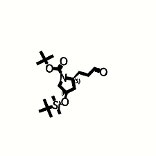 CC(C)(C)OC(=O)N1C[C@H](O[Si](C)(C)C(C)(C)C)C[C@@H]1CCC=O